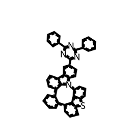 c1ccc(-c2nc(-c3ccccc3)nc(-c3ccc4c(c3)c3cccc5c6ccccc6c6cccc7sc8cccc(c8c76)n4c53)n2)cc1